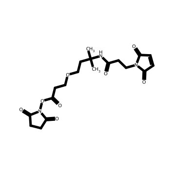 CC(C)(CCOCCC(=O)ON1C(=O)CCC1=O)NC(=O)CCN1C(=O)C=CC1=O